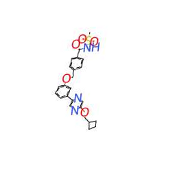 CS(=O)(=O)NC(=O)c1ccc(COc2cccc(-c3cnc(OCC4CCC4)cn3)c2)cc1